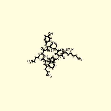 CC(C)C[C@H](NC(=O)[C@H](Cc1ccc(O)cc1)NC(=O)[C@H](CCCCN)NC(=O)[C@@H](N)CCCCN)C(=O)N[C@@H](Cc1c[nH]c2ccccc12)C(=O)N[C@@H](CCCCN)C(=O)O